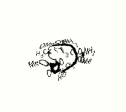 COC1=C2CC(C)C[C@H](OC)[C@H](O)C(C)/C=C(\C)[C@H](OC(N)=O)[C@@H](OC)/C=C\C=C(/C)C(=O)NC(=CC1=O)C2=O